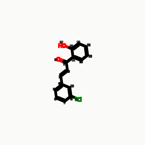 O=C(/C=C/c1cccc(Cl)c1)c1ccccc1O